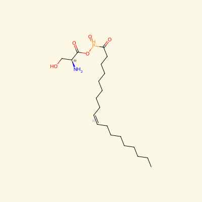 CCCCCCCC/C=C\CCCCCCCC(=O)[PH](=O)OC(=O)[C@@H](N)CO